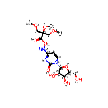 CCOCC(COCC)(OCC)C(=O)ONc1ccn([C@@H]2O[C@H](CO)[C@@H](O)[C@H]2O)c(=O)n1